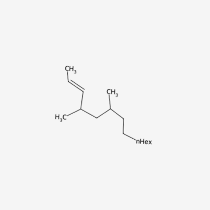 CC=CC(C)CC(C)CCCCCCCC